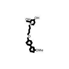 COc1cccc(-c2ccc(COCCCCCN3CCC(O)CC3CO)cc2)c1